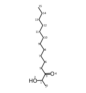 [CH2]C(O)C(=O)CCCCCCCCCCC